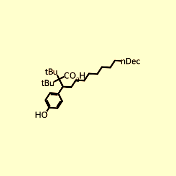 CCCCCCCCCCCCCCCCCCC(c1ccc(O)cc1)C(C(=O)O)(C(C)(C)C)C(C)(C)C